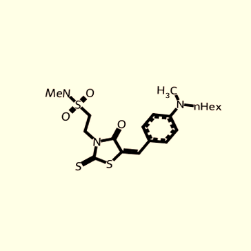 CCCCCCN(C)c1ccc(C=C2SC(=S)N(CCS(=O)(=O)NC)C2=O)cc1